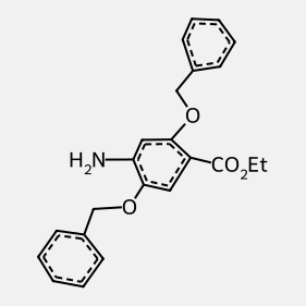 CCOC(=O)c1cc(OCc2ccccc2)c(N)cc1OCc1ccccc1